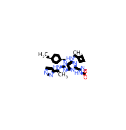 C=C[C@H]1CC[C@H](Cn2c(NC(C)c3ccncn3)nc3nc(-c4noc(=O)[nH]4)nc(N[C@H](C)C4CCC4)c32)CC1